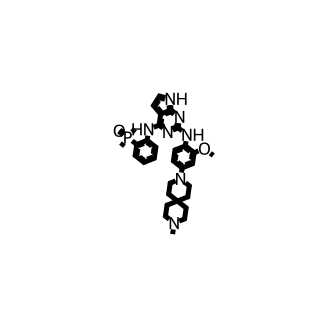 COc1cc(N2CCC3(CCN(C)CC3)CC2)ccc1Nc1nc(Nc2ccccc2P(C)(C)=O)c2cc[nH]c2n1